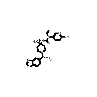 Cc1ccc(N(C=O)C(=O)NC2(C)CCN([C@H](C)c3ccc4scnc4c3)CC2)cn1